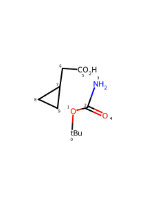 CC(C)(C)OC(N)=O.O=C(O)CC1CC1